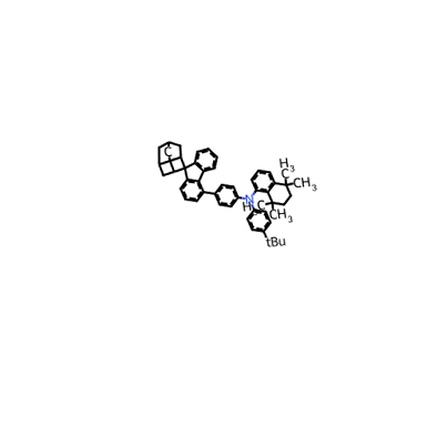 CC(C)(C)c1ccc(N(c2ccc(-c3cccc4c3-c3ccccc3C43C4CC5CC6CC3C64C5)cc2)c2cccc3c2C(C)(C)CCC3(C)C)cc1